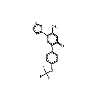 Cc1cc(=O)n(-c2ccc(OC(F)(F)F)cc2)cc1-n1ccnc1